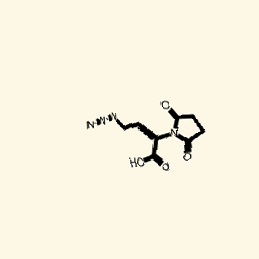 [N-]=[N+]=NCC=C(C(=O)O)N1C(=O)CCC1=O